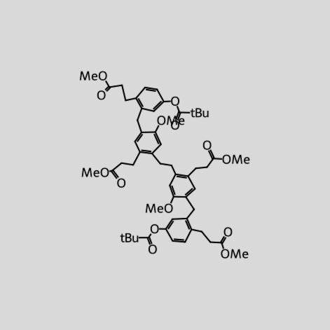 COC(=O)CCc1cc(Cc2cc(OC(=O)C(C)(C)C)ccc2CCC(=O)OC)c(OC)cc1CCc1cc(OC)c(Cc2cc(OC(=O)C(C)(C)C)ccc2CCC(=O)OC)cc1CCC(=O)OC